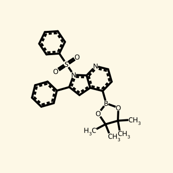 CC1(C)OB(c2ccnc3c2cc(-c2ccccc2)n3S(=O)(=O)c2ccccc2)OC1(C)C